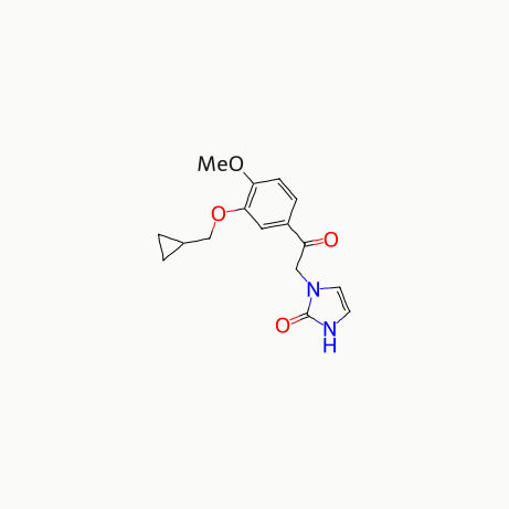 COc1ccc(C(=O)Cn2cc[nH]c2=O)cc1OCC1CC1